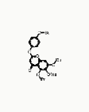 CCC(C)Oc1ccc(Oc2cc(=O)c3c(OC(C)C)c(OC)c(OC(C)CC)cc3o2)cc1